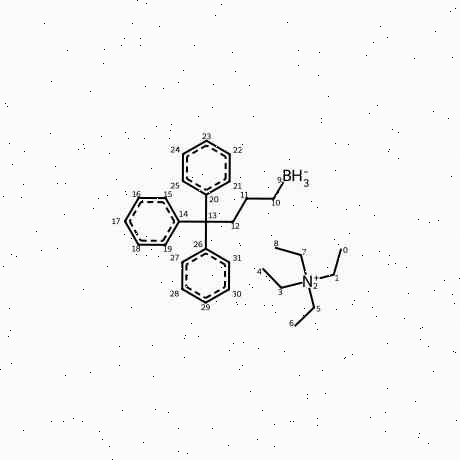 CC[N+](CC)(CC)CC.[BH3-]CCCC(c1ccccc1)(c1ccccc1)c1ccccc1